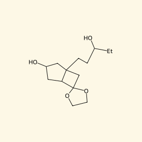 CCC(O)CCC12CC(O)CC1C1(C2)OCCO1